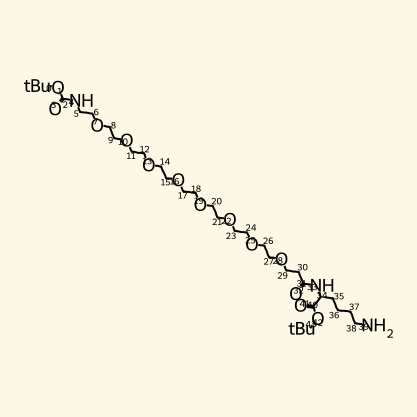 CC(C)(C)OC(=O)NCCOCCOCCOCCOCCOCCOCCOCCOCCC(=O)N[C@@H](CCCCN)C(=O)OC(C)(C)C